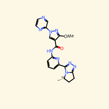 COc1nn(-c2cnccn2)cc1C(=O)Nc1cccc(-c2nnc3n2[C@@H](C)CC3)n1